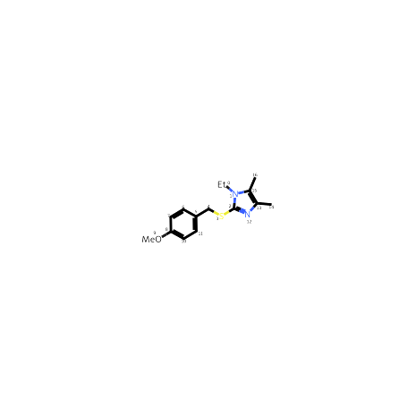 CCn1c(SCc2ccc(OC)cc2)nc(C)c1C